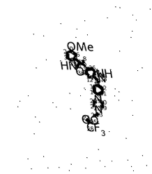 COc1ccc2c(c1)[C@]1(C[C@H]1c1ccc3c(-c4ccc(N5CCN(CCOC(=O)C(F)(F)F)CC5)cc4)n[nH]c3c1)C(=O)N2